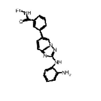 CCNC(=O)c1cccc(-c2ccc3nc(Nc4ccccc4N)nn3c2)c1